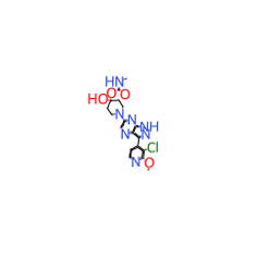 CNC(=O)OC1(O)CCN(c2cnc3c(-c4ccnc(OC)c4Cl)n[nH]c3n2)CC1